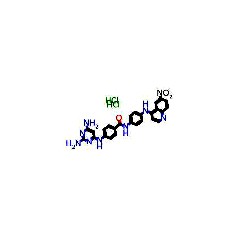 Cl.Cl.Nc1cc(Nc2ccc(C(=O)Nc3ccc(Nc4ccnc5ccc([N+](=O)[O-])cc45)cc3)cc2)nc(N)n1